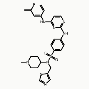 C=C/C(=C\C(=C)F)Nc1ccnc(Nc2ccc(S(=O)(=O)N(Cc3cncs3)C3CCN(C)CC3)cc2)n1